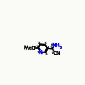 COc1ccc(C(N)C#N)cn1